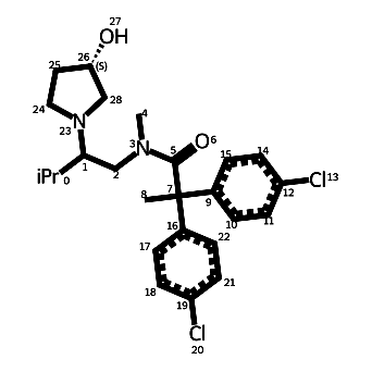 CC(C)C(CN(C)C(=O)C(C)(c1ccc(Cl)cc1)c1ccc(Cl)cc1)N1CC[C@H](O)C1